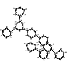 c1ccc(-c2nc3ccc(-c4ccc(-c5cc(-c6ccccn6)nc(-c6ccccn6)c5)cc4)cc3c3c(-c4ccccc4)cccc23)cc1